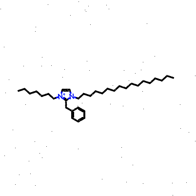 CCCCCCCCCCCCCCCCCn1cc[n+](CCCCCCC)c1Cc1ccccc1